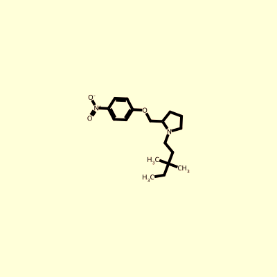 CCC(C)(C)CCN1CCCC1COc1ccc([N+](=O)[O-])cc1